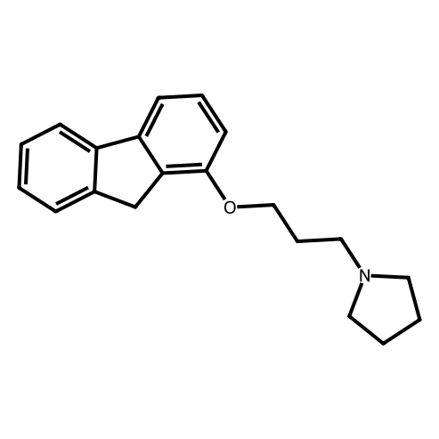 c1ccc2c(c1)Cc1c(OCCCN3CCCC3)cccc1-2